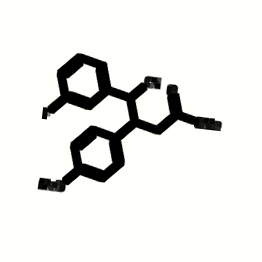 COC(=O)CC(c1ccc(OC)cc1)C(C#N)c1cccc(F)c1